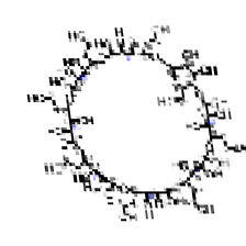 OCCC1OC(O)/C(O)=C(/O)C(CCO)OC2OC(CO)C(OC(O)/C(O)=C(\O)C(CCO)OC(O)/C(O)=C(\O)C(CCO)OC(O)/C(O)=C(/O)C(CCO)OC(O)/C(O)=C(/O)C(CCO)OC(O)/C(O)=C(\O)C(CCO)OC(O)/C(O)=C\1O)C(O)C2O